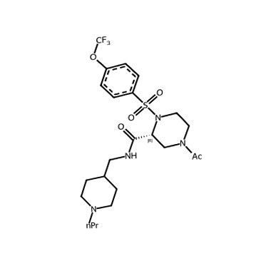 CCCN1CCC(CNC(=O)[C@H]2CN(C(C)=O)CCN2S(=O)(=O)c2ccc(OC(F)(F)F)cc2)CC1